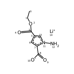 CCOC(=O)c1cc(C(=O)[O-])n(N)c1.[Li+]